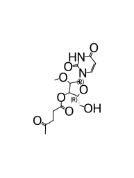 COC1C(OC(=O)CCC(C)=O)[C@@H](CO)O[C@H]1n1ccc(=O)[nH]c1=O